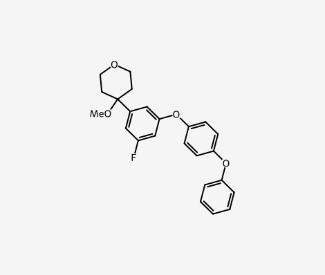 COC1(c2cc(F)cc(Oc3ccc(Oc4ccccc4)cc3)c2)CCOCC1